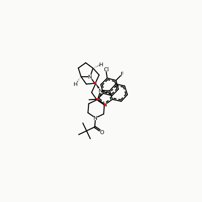 Cc1nc2ccccc2n1[C@H]1C[C@H]2CC[C@@H](C1)N2CCC1(c2ccc(F)c(Cl)c2)CCN(C(=O)C(C)(C)C)CC1